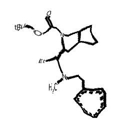 CCC(C1C2CCC2N1C(=O)OC(C)(C)C)N(C)Cc1ccccc1